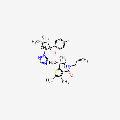 C=CCNC(=O)c1c([Si](C)(C)C)sc(C)c1C.C[Si](C)(C)CC(O)(Cn1cncn1)c1ccc(F)cc1